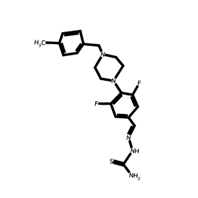 Cc1ccc(CN2CCN(c3c(F)cc(C=NNC(N)=S)cc3F)CC2)cc1